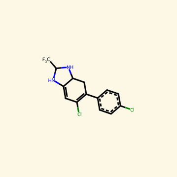 FC(F)(F)C1NC2=CC(Cl)=C(c3ccc(Cl)cc3)CC2N1